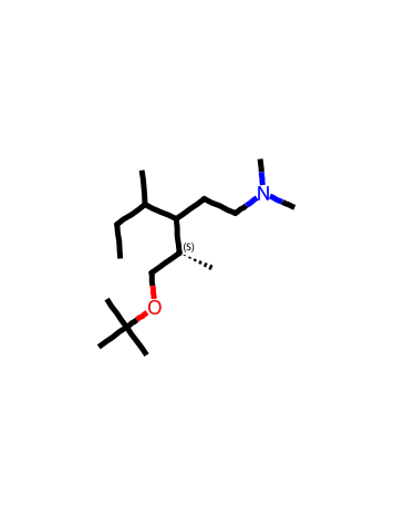 CCC(C)C(CCN(C)C)[C@H](C)COC(C)(C)C